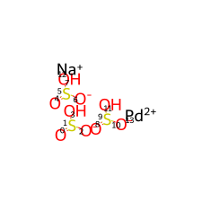 O=S([O-])O.O=S([O-])O.O=S([O-])O.[Na+].[Pd+2]